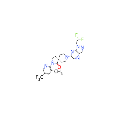 Cc1cc(C(F)(F)F)cnc1N1CCC2(CCN(c3cnc4cnn(CC(F)F)c4n3)CC2)C1=O